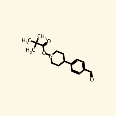 CC(C)(C)C(=O)ON1CCC(c2ccc(C=O)cc2)CC1